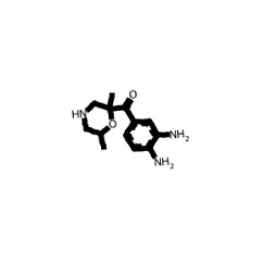 CC1CNCC(C)(C(=O)c2ccc(N)c(N)c2)O1